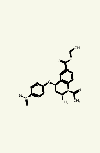 CCOC(=O)c1ccc2c(c1)[C@H](Oc1ccc([N+](=O)[O-])cc1)C[C@H](C)N2C(C)=O